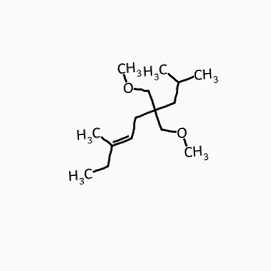 CC/C(C)=C/CC(COC)(COC)CC(C)C